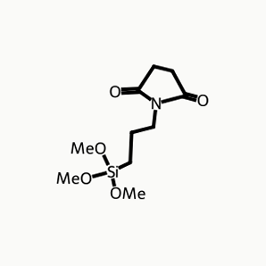 CO[Si](CCCN1C(=O)CCC1=O)(OC)OC